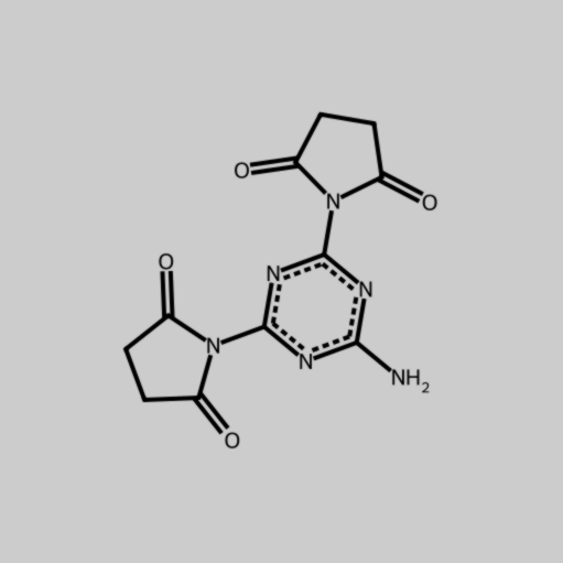 Nc1nc(N2C(=O)CCC2=O)nc(N2C(=O)CCC2=O)n1